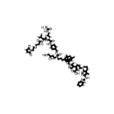 Cc1c(Nc2nc3ccccc3s2)nnc2c1CCCN2c1ccc(-c2cnn(CC34CC5(C)CC(C)(CC(CCCN(CC[C@H](O)CO)C(=O)OCc6ccc(NC(=O)[C@H](CCCNC(N)=O)NC(=O)[C@@H](NC(=O)CCOCCN7C(=O)C=CC7=O)C(C)C)cc6)(C5)C3)C4)c2C)c(C(=O)O)n1